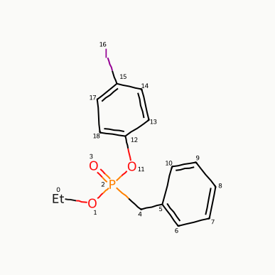 CCOP(=O)(Cc1ccccc1)Oc1ccc(I)cc1